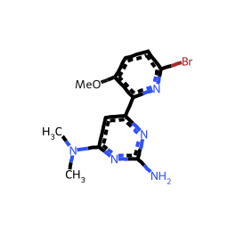 COc1ccc(Br)nc1-c1cc(N(C)C)nc(N)n1